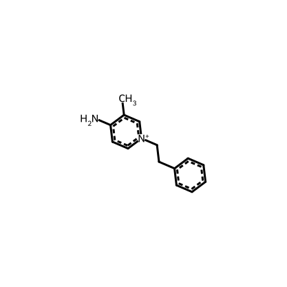 Cc1c[n+](CCc2ccccc2)ccc1N